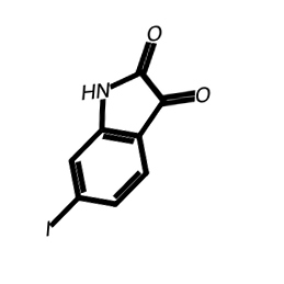 O=C1Nc2cc(I)ccc2C1=O